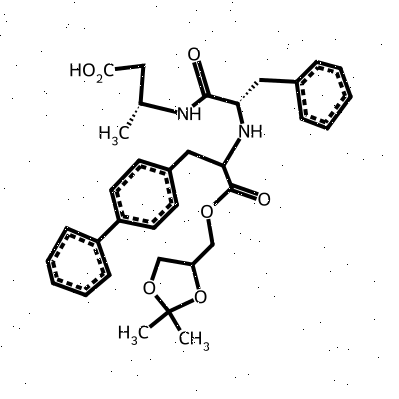 C[C@H](CC(=O)O)NC(=O)[C@H](Cc1ccccc1)NC(Cc1ccc(-c2ccccc2)cc1)C(=O)OCC1COC(C)(C)O1